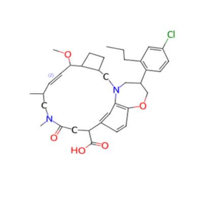 CCCc1cc(Cl)ccc1C1COc2ccc3cc2N(C1)CC1CCC1C(OC)/C=C\C(C)CN(C)C(=O)CC3C(=O)O